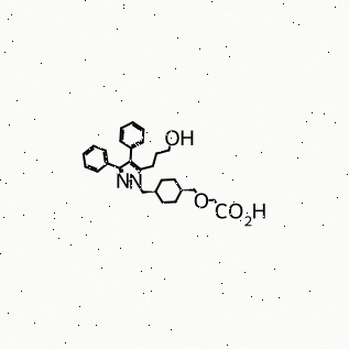 O=C(O)COC[C@H]1CC[C@@H](Cn2nc(-c3ccccc3)c(-c3ccccc3)c2CCCO)CC1